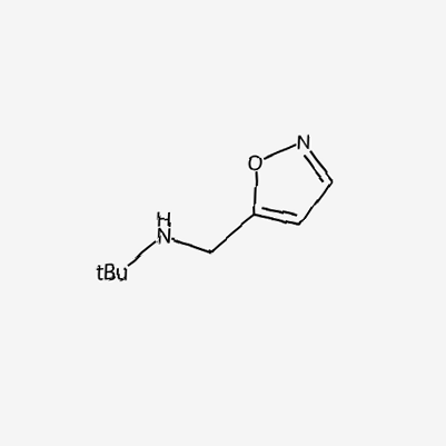 CC(C)(C)NCc1ccno1